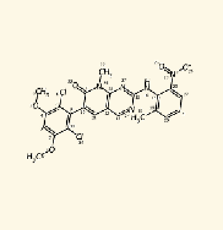 COc1cc(OC)c(Cl)c(-c2cc3cnc(Nc4c(C)cccc4[N+](=O)[O-])nc3n(C)c2=O)c1Cl